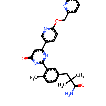 CC(C)(Cc1ccc(C(F)(F)F)c(-c2nc(-c3ccc(OCc4ccccn4)nc3)cc(=O)[nH]2)c1)C(N)=O